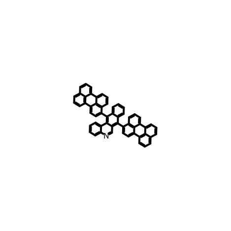 c1ccc2c(c1)ncc1c(-c3ccc4c5cccc6cccc(c7cccc3c74)c65)c3ccccc3c(-c3ccc4c5cccc6cccc(c7cccc3c74)c65)c12